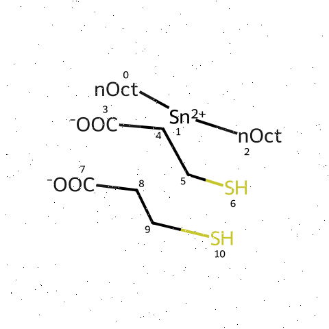 CCCCCCC[CH2][Sn+2][CH2]CCCCCCC.O=C([O-])CCS.O=C([O-])CCS